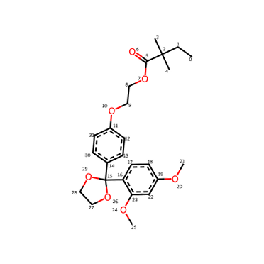 CCC(C)(C)C(=O)OCCOc1ccc(C2(c3ccc(OC)cc3OC)OCCO2)cc1